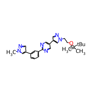 Cn1cc(-c2cccc(-c3ncc(-c4cnn(CCO[Si](C)(C)C(C)(C)C)c4)cn3)c2)cn1